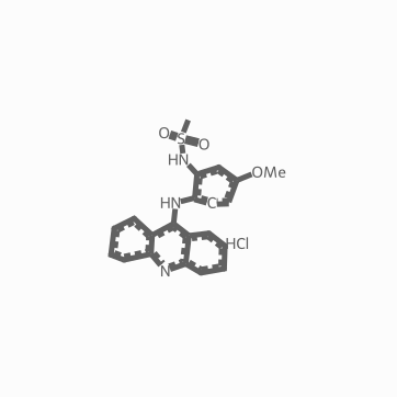 COc1ccc(Nc2c3ccccc3nc3ccccc23)c(NS(C)(=O)=O)c1.Cl